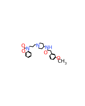 COc1cccc(CC(=O)NC2CCN(CCCn3c(=O)oc4ccccc43)CC2)c1